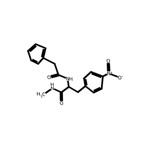 CNC(=O)C(Cc1ccc([N+](=O)[O-])cc1)NC(=O)Cc1ccccc1